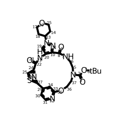 CC(C)(C)OC(=O)N1CCNC(=O)c2nn(C3CCOCC3)cc2NC(=O)c2csc(n2)-c2ccnc(c2)OCC1